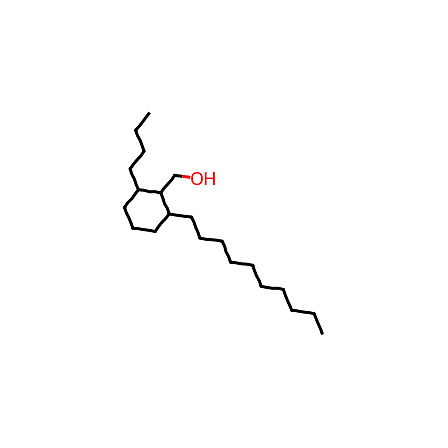 CCCCCCCCCCC1CCCC(CCCC)C1CO